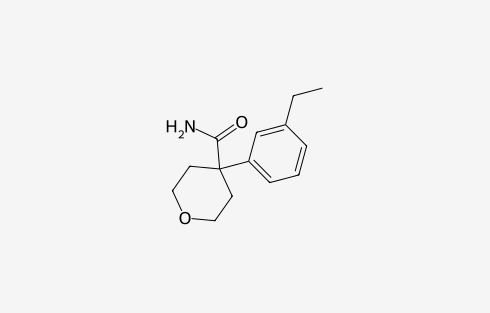 CCc1cccc(C2(C(N)=O)CCOCC2)c1